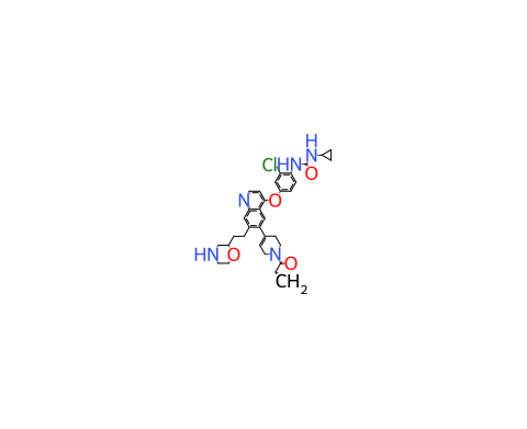 C=CC(=O)N1CC=C(c2cc3c(Oc4ccc(NC(=O)NC5CC5)c(Cl)c4)ccnc3cc2CCC2CNCCO2)CC1